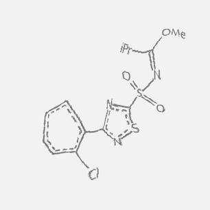 COC(=NS(=O)(=O)c1nc(-c2ccccc2Cl)ns1)C(C)C